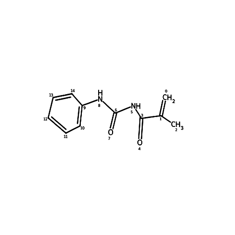 C=C(C)C(=O)NC(=O)Nc1ccccc1